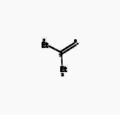 [CH]=C(C[CH2])CC